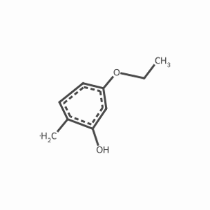 [CH2]c1ccc(OCC)cc1O